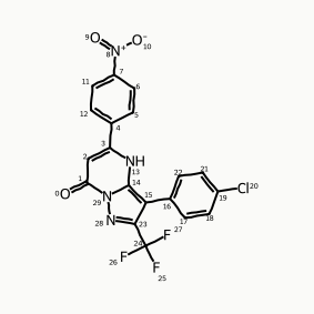 O=c1cc(-c2ccc([N+](=O)[O-])cc2)[nH]c2c(-c3ccc(Cl)cc3)c(C(F)(F)F)nn12